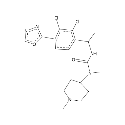 CC(NC(=O)N(C)C1CCN(C)CC1)c1ccc(-c2nnco2)c(Cl)c1Cl